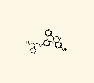 CC(COc1ccc([C@@H]2c3ccc(O)cc3OC[C@@H]2c2ccccc2)cc1)N1CCCC1